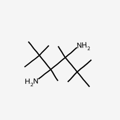 CC(C)(C)C(C)(N)C(C)(N)C(C)(C)C